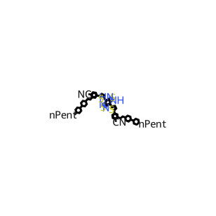 CCCCCC1CCC(C2CCC(CCc3cc(-c4ccc(-c5c6c(c(-c7ccc(-c8ccc(C#N)c(CCC9CCC(C%10CCC(CCCCC)CC%10)CC9)c8)s7)c7nsnc57)NSN6)s4)ccc3C#N)CC2)CC1